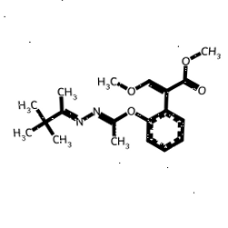 CO/C=C(/C(=O)OC)c1ccccc1O/C(C)=N/N=C(\C)C(C)(C)C